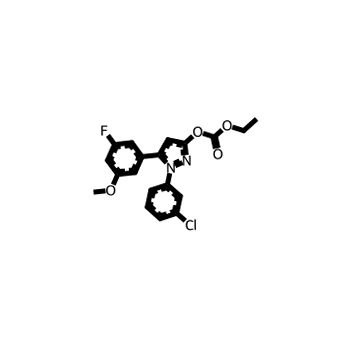 CCOC(=O)Oc1cc(-c2cc(F)cc(OC)c2)n(-c2cccc(Cl)c2)n1